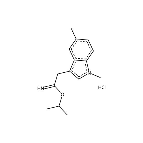 Cc1ccc2c(c1)c(CC(=N)OC(C)C)cn2C.Cl